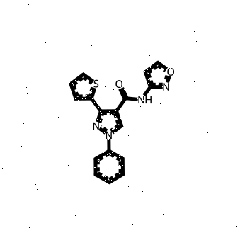 O=C(Nc1ccon1)c1cn(-c2ccccc2)nc1-c1cccs1